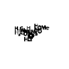 COC(=O)NC(=S)Nc1ccccc1NC(=O)CN(C)C.Cl